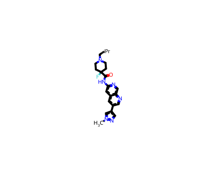 CC(C)CN1CCC(F)(C(=O)Nc2cc3cc(-c4cnn(C)c4)cnc3cn2)CC1